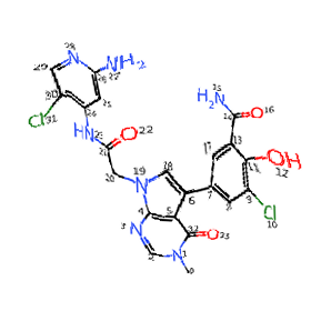 Cn1cnc2c(c(-c3cc(Cl)c(O)c(C(N)=O)c3)cn2CC(=O)Nc2cc(N)ncc2Cl)c1=O